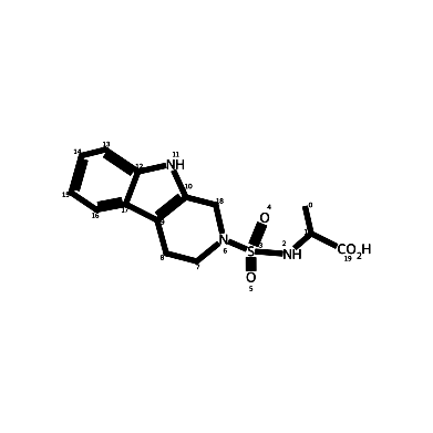 CC(NS(=O)(=O)N1CCc2c([nH]c3ccccc23)C1)C(=O)O